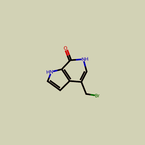 O=c1[nH]cc(CBr)c2cc[nH]c12